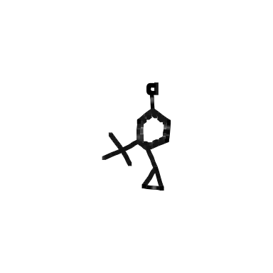 CC(C)(C)c1cc(Cl)ccc1C1CC1